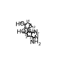 Cc1cc2c(N)ncnc2n1C12CC1CC(O)C2O